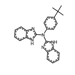 CC(C)(C)c1ccc(N(c2nc3ccccc3[nH]2)c2nc3ccccc3[nH]2)cc1